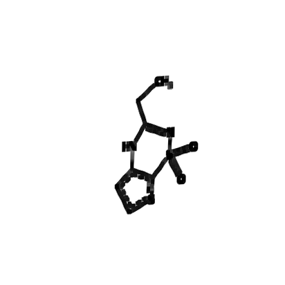 CCC1=NS(=O)(=O)c2sccc2N1